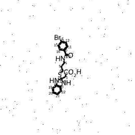 O=C(O)CC1(SCCCNC(=O)c2ccc(Br)cc2)Nc2ccccc2N1